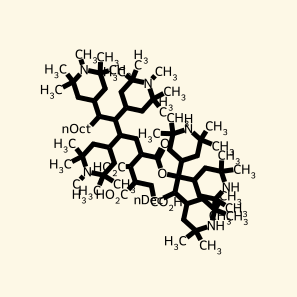 CCCCCCCCCCC(C1CC(C)(C)NC(C)(C)C1)C(OC(=O)C(CC(C1CC(C)(C)N(C)C(C)(C)C1)C(C1CC(C)(C)N(C)C(C)(C)C1)C(CCCCCCCC)C1CC(C)(C)N(C)C(C)(C)C1)C(C(=O)O)C(CC(=O)O)C(=O)O)(C1CC(C)(C)NC(C)(C)C1)C1CC(C)(C)NC(C)(C)C1